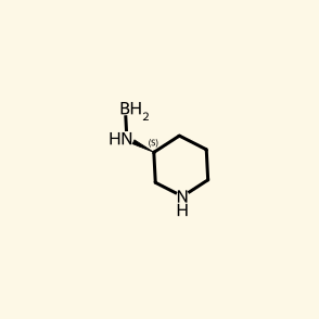 BN[C@H]1CCCNC1